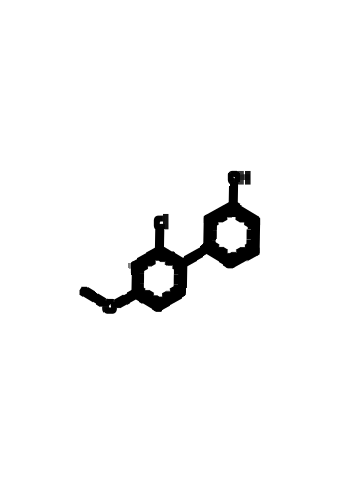 COc1[c]c(Cl)c(-c2cccc(O)c2)cc1